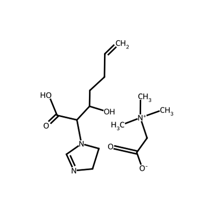 C=CCCC(O)C(C(=O)O)N1C=NCC1.C[N+](C)(C)CC(=O)[O-]